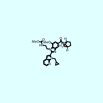 COC(=O)NCCn1c(-c2cc3cccnc3n2CC2CC2)nc2cc(C(=O)N3C[C@H]4CC[C@@H]3[C@@H]4N)cc(OC)c21